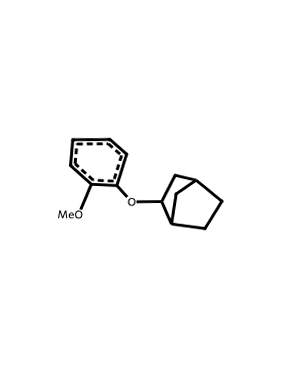 COc1ccccc1OC1CC2CCC1C2